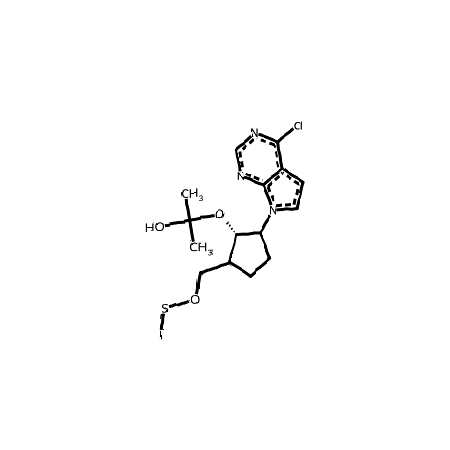 CC(C)(O)O[C@H]1C(COSI)CCC1n1ccc2c(Cl)ncnc21